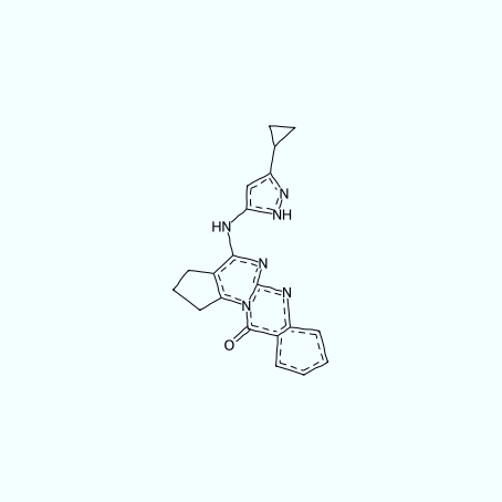 O=c1c2ccccc2nc2nc(Nc3cc(C4CC4)n[nH]3)c3c(n12)CCC3